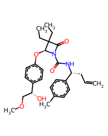 C=CC[C@@H](NC(=O)N1C(=O)C(CC)(CC)[C@@H]1Oc1ccc([C@H](O)COC)cc1)c1ccc(C)cc1